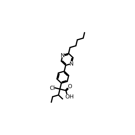 CCCCCc1cnc(-c2ccc(C(Cl)(C(=O)O)C(C)CC)cc2)cn1